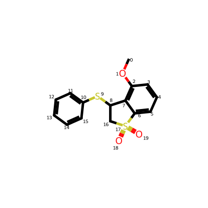 COc1cccc2c1C(Sc1ccccc1)CS2(=O)=O